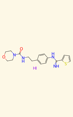 I.N=C(Nc1ccc(CCNC(=O)N2CCOCC2)cc1)c1cccs1